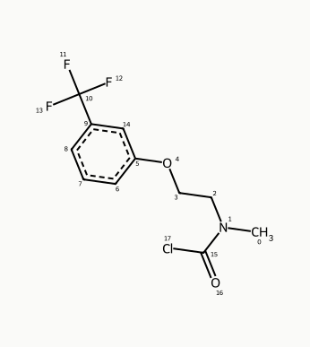 CN(CCOc1cccc(C(F)(F)F)c1)C(=O)Cl